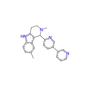 Cc1ccc2[nH]c3c(c2c1)C(c1ccc(-c2cccnc2)cn1)N(C)CC3